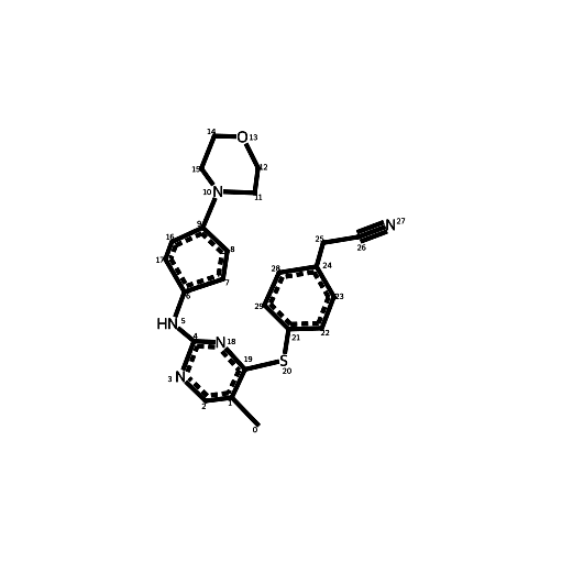 Cc1cnc(Nc2ccc(N3CCOCC3)cc2)nc1Sc1ccc(CC#N)cc1